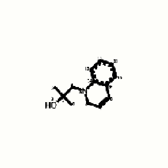 CC(C)(O)CN1CC=Cc2ccccc21